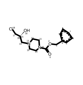 O=C(OCc1ccccc1)N1CCN(C[C@@H](O)CCl)CC1